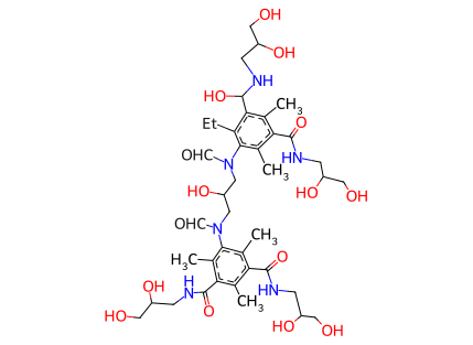 CCc1c(C(O)NCC(O)CO)c(C)c(C(=O)NCC(O)CO)c(C)c1N(C=O)CC(O)CN(C=O)c1c(C)c(C(=O)NCC(O)CO)c(C)c(C(=O)NCC(O)CO)c1C